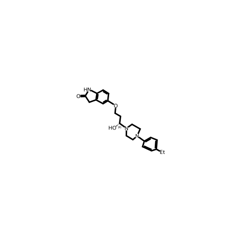 CCc1ccc(N2CCN([C@H](O)CCOc3ccc4c(c3)CC(=O)N4)CC2)cc1